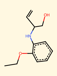 C=CC(CO)Nc1ccccc1OCC